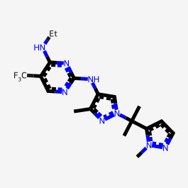 CCNc1nc(Nc2cn(C(C)(C)c3ccnn3C)nc2C)ncc1C(F)(F)F